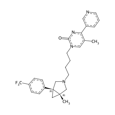 Cc1cn(CCCCN2C[C@]3(C)C[C@]3(c3ccc(C(F)(F)F)cc3)C2)c(=O)nc1-c1cccnc1